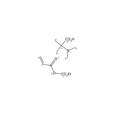 C=CC(=O)OC(=O)OCC.CN(C)C(C)(C)C(=O)O